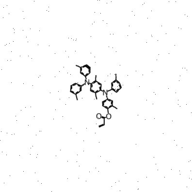 C=CC(=O)Oc1ccc(N(c2cccc(C)c2)c2cc(C)c(N(c3cc#cc(C)c3)c3cccc(C)c3)cc2C)cc1C